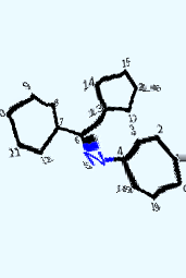 C1CCCC(N=C(C2CCCCC2)C2CCCC2)CC1